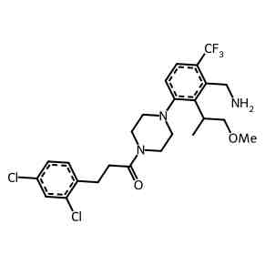 COCC(C)c1c(N2CCN(C(=O)CCc3ccc(Cl)cc3Cl)CC2)ccc(C(F)(F)F)c1CN